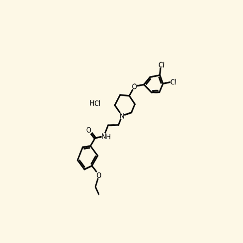 CCOc1cccc(C(=O)NCCN2CCC(Oc3ccc(Cl)c(Cl)c3)CC2)c1.Cl